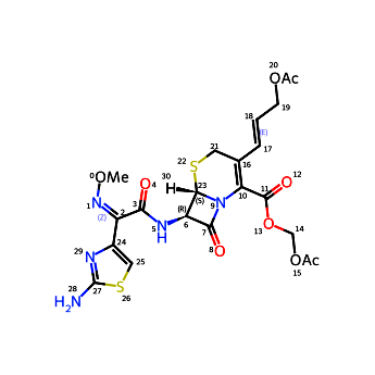 CO/N=C(\C(=O)N[C@@H]1C(=O)N2C(C(=O)OCOC(C)=O)=C(/C=C/COC(C)=O)CS[C@@H]12)c1csc(N)n1